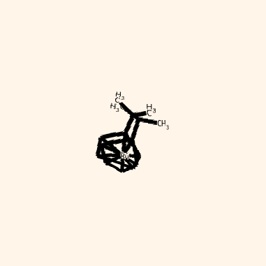 CC(C)[C]12[CH]3[CH]4[CH]5[CH]1[Ru]45321678[CH]2[CH]1[CH]6[C]7(C(C)C)[CH]28